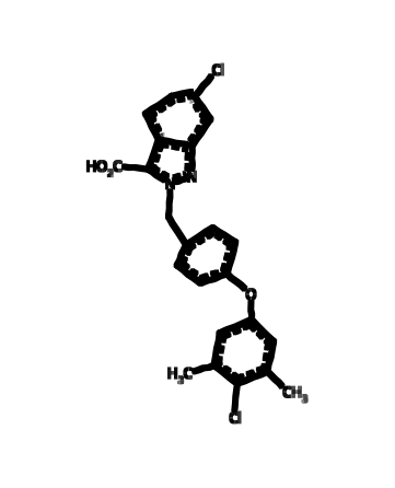 Cc1cc(Oc2ccc(Cn3nc4cc(Cl)ccc4c3C(=O)O)cc2)cc(C)c1Cl